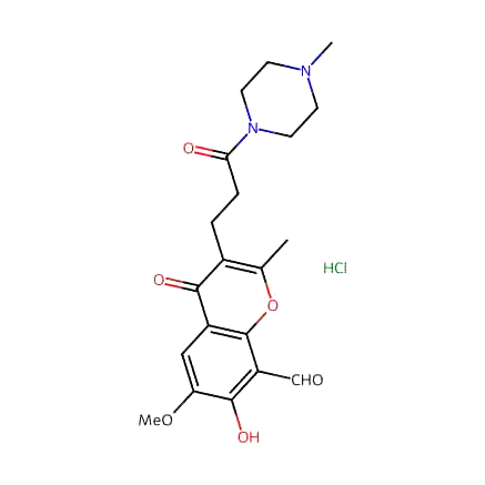 COc1cc2c(=O)c(CCC(=O)N3CCN(C)CC3)c(C)oc2c(C=O)c1O.Cl